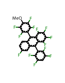 COc1c(F)c(F)c(-c2c3ccc(F)cc3c(-c3c(F)c(F)cc(F)c3F)c3c(F)c(F)c(F)c(F)c23)c(F)c1F